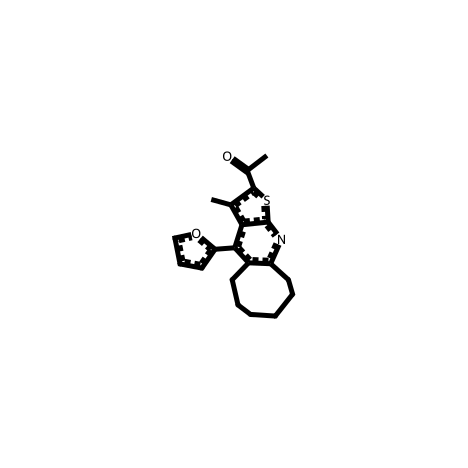 CC(=O)c1sc2nc3c(c(-c4ccco4)c2c1C)CCCCCC3